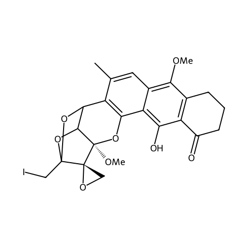 COc1c2c(c(O)c3c4c(c(C)cc13)C1OC3(CI)OC1[C@@](OC)(O4)[C@@]31CO1)C(=O)CCC2